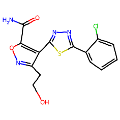 NC(=O)c1onc(CCO)c1-c1nnc(-c2ccccc2Cl)s1